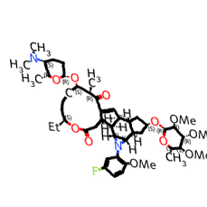 CC[C@H]1CCC[C@H](O[C@H]2CC[C@H](N(C)C)[C@@H](C)O2)[C@@H](C)C(=O)C2=C[C@H]3[C@@H]4C[C@H](O[C@@H]5O[C@@H](C)[C@H](OC)[C@@H](OC)[C@H]5OC)C[C@H]4[C@H]4[C@@H]([C@H]3[C@@H]2CC(=O)O1)N4c1cc(F)ccc1OC